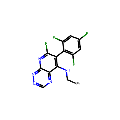 CC(C)CNc1c(-c2c(F)cc(F)cc2F)c(F)nc2nncnc12